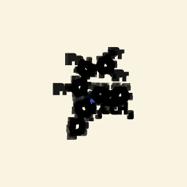 CC(C)c1cc(-c2cc(C(C)C)cc(C(C)C)c2)cc(-c2cc(C(C)C)cc(N(c3ccc(C4CCCCC4)cc3)c3ccc4c(c3)C(C)(C)c3ccccc3-4)c2)c1